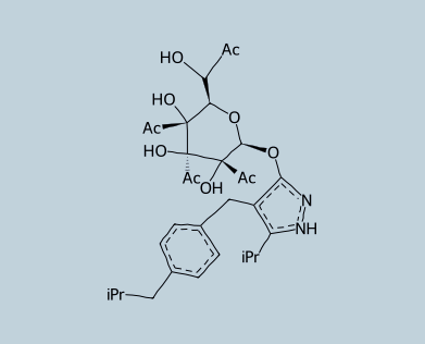 CC(=O)C(O)[C@H]1O[C@@H](Oc2n[nH]c(C(C)C)c2Cc2ccc(CC(C)C)cc2)[C@@](O)(C(C)=O)[C@](O)(C(C)=O)[C@@]1(O)C(C)=O